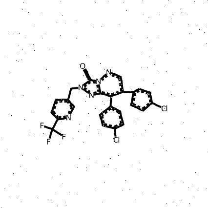 O=c1n(Cc2ccc(C(F)(F)F)nc2)nc2c(-c3ccc(Cl)cc3)c(-c3ccc(Cl)cc3)cnn12